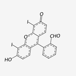 O=Cc1ccccc1-c1c2ccc(=O)c(I)c-2oc2c(I)c(O)ccc12